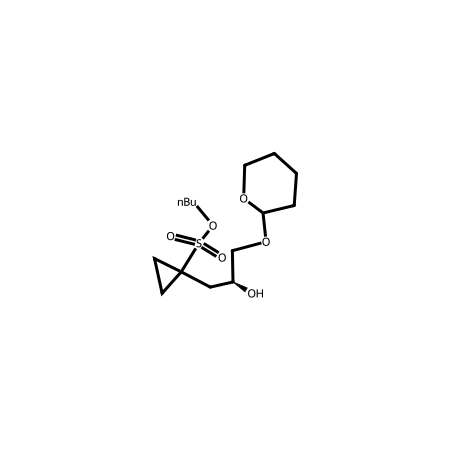 CCCCOS(=O)(=O)C1(C[C@H](O)COC2CCCCO2)CC1